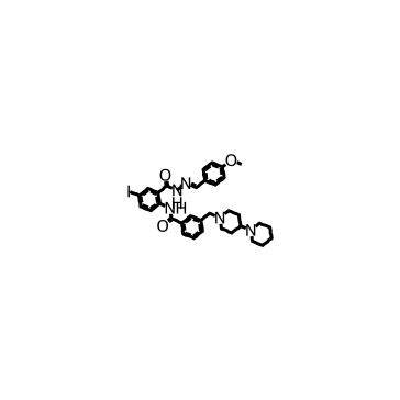 COc1ccc(C=NNC(=O)c2cc(I)ccc2NC(=O)c2cccc(CN3CCC(N4CCCCC4)CC3)c2)cc1